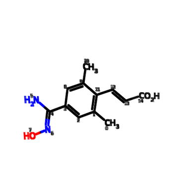 Cc1cc(/C(N)=N/O)cc(C)c1C=CC(=O)O